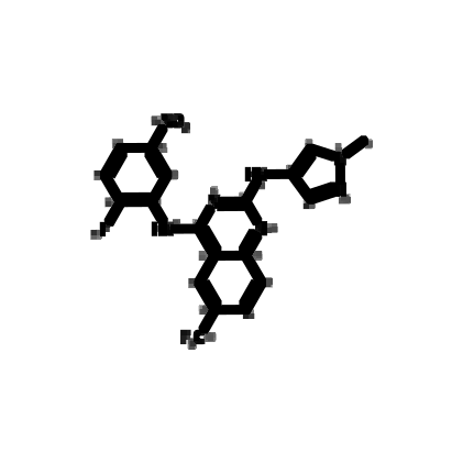 Cn1cc(Nc2nc(Nc3cc([N+](=O)[O-])ccc3F)c3cc(C(F)(F)F)ccc3n2)cn1